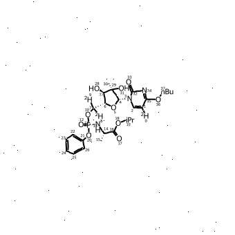 [2H]c1cn([C@@H]2O[C@H](C([2H])([2H])O[P@@](=O)(N[C@@H](C)C(=O)OC(C)C)Oc3ccccc3)[C@@H](O)[C@@]2(C)O)c(=O)nc1OCCCC